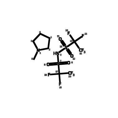 CN1CCCC1.O=S(=O)(NS(=O)(=O)C(F)(F)C(F)(F)F)C(F)(F)C(F)(F)F